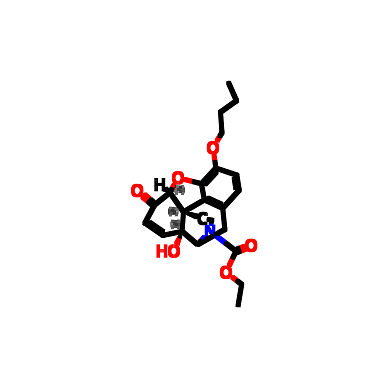 CCCCOc1ccc2c3c1O[C@H]1C(=O)C=C[C@@]4(O)C(C2)N(C(=O)OCC)CC[C@]314